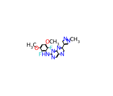 COc1cc(OC)c(F)c(Nc2ncc3ncc(-c4cnn(C)c4)nc3n2)c1F